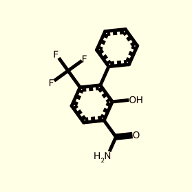 NC(=O)c1ccc(C(F)(F)F)c(-c2ccccc2)c1O